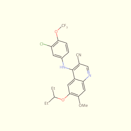 CCC(CC)Oc1cc2c(Nc3ccc(OC(F)(F)F)c(Cl)c3)c(C#N)cnc2cc1OC